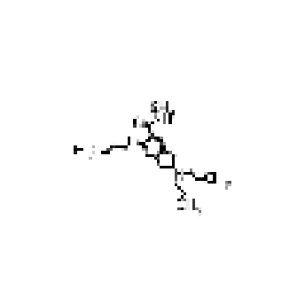 CCCCOc1cc2c(cc1C(=O)NC)CC(N(CCC)CCC)C2